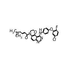 CN(C)C/C=C/C(=O)N1CCOc2c1ccc1ncnc(Nc3ccc(Oc4cc(Cl)ccc4F)cc3)c21